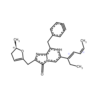 C/C=C\C=C(/CC)c1cn2c(=O)c(CC3=CC[C@@H](C)O3)nc-2c(Cc2cc#ccc2)[nH]1